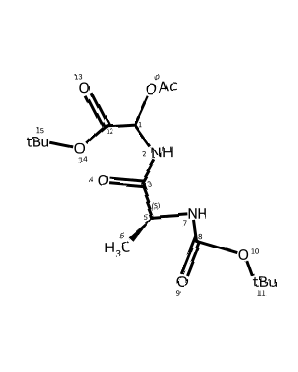 CC(=O)OC(NC(=O)[C@H](C)NC(=O)OC(C)(C)C)C(=O)OC(C)(C)C